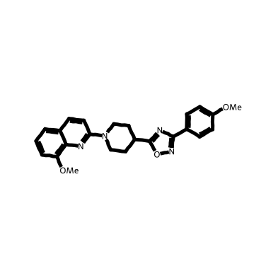 COc1ccc(-c2noc(C3CCN(c4ccc5cccc(OC)c5n4)CC3)n2)cc1